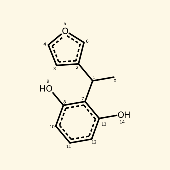 CC(c1ccoc1)c1c(O)cccc1O